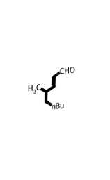 CCCCCC(C)C=CC=O